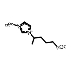 CCCCCCCCCCCC(C)[n+]1ccn(CCC)c1